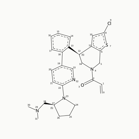 C=CC(=O)N1Cc2sc(Cl)cc2[C@H](c2ccccc2-c2ccc(N3CCC[C@H]3CN(C)C)nc2)C1